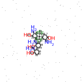 Nc1cc(C(c2ccc(O)c(N)c2)(C(F)(F)F)C(F)(F)F)ccc1O.Nc1ccccc1O.Nc1ccccc1O